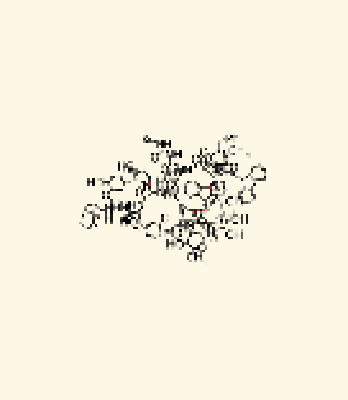 CC(C)C[C@H](C(=O)N[C@H]1C(=O)N[C@@H](CC(=O)NC(=O)NC2CC2)C(=O)N[C@H]2C(=O)N[C@H]3C(=O)N[C@H](C(=O)N[C@H](C(=O)NC4C5CC6CC(C5)CC4C6)c4cc(O)cc(O)c4-c4cc3ccc4O)[C@H](O)c3ccc(c(Cl)c3)Oc3cc2cc2c3O[C@@H]3O[C@H](C(O)c4cc(ccc4O2)[C@H]1O)[C@@H](O)[C@H](O)[C@H]3O[C@H]1C[C@](C)(NC(=O)OCC2c3ccccc3-c3ccccc32)[C@H](O)[C@H](C)O1)N(C)C(=O)OCC1c2ccccc2-c2ccccc21